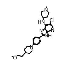 COCCC1CCN(c2ccc(-c3nc4c(NC5CCN(C)CC5)c(Cl)cnc4[nH]3)cc2)CC1